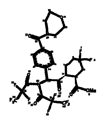 COC(=O)[C@@H]1CC(F)(F)CC[C@H]1C(=O)C(c1ccc(C(=O)N2CCOCC2)cc1)N(C(=O)C(F)(F)C(F)(F)F)C(=O)C(F)(F)C(F)(F)F